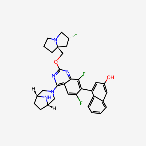 Oc1cc(-c2c(F)cc3c(N4C[C@H]5CC[C@@H](C4)N5)nc(OC[C@@]45CCCN4C[C@H](F)C5)nc3c2F)c2ccccc2c1